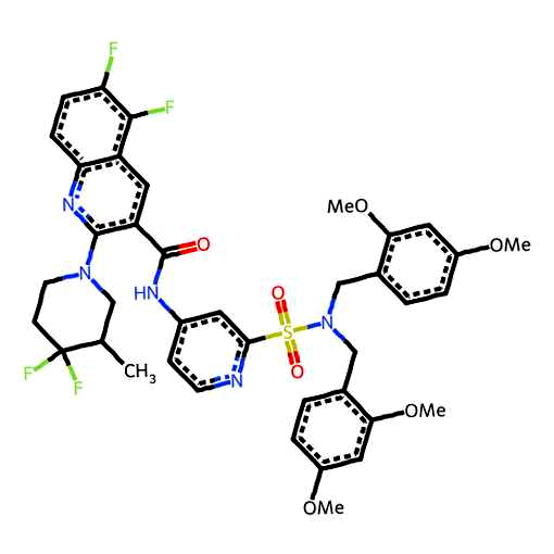 COc1ccc(CN(Cc2ccc(OC)cc2OC)S(=O)(=O)c2cc(NC(=O)c3cc4c(F)c(F)ccc4nc3N3CCC(F)(F)C(C)C3)ccn2)c(OC)c1